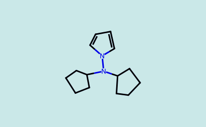 c1ccn(N(C2CCCC2)C2CCCC2)c1